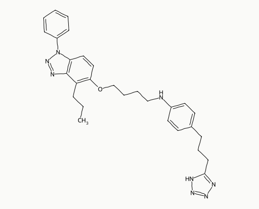 CCCc1c(OCCCCNc2ccc(CCCc3nnn[nH]3)cc2)ccc2c1nnn2-c1ccccc1